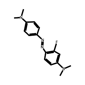 CB(C)c1ccc(/N=N/c2ccc(N(C)C)cc2)c(F)c1